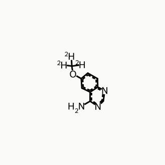 [2H]C([2H])([2H])Oc1ccc2ncnc(N)c2c1